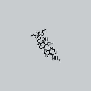 CCOP(=O)(CO[C@@]1(C)O[C@@H](n2cnc3c(N)ncnc32)[C@H](O)[C@@H]1O)OCC